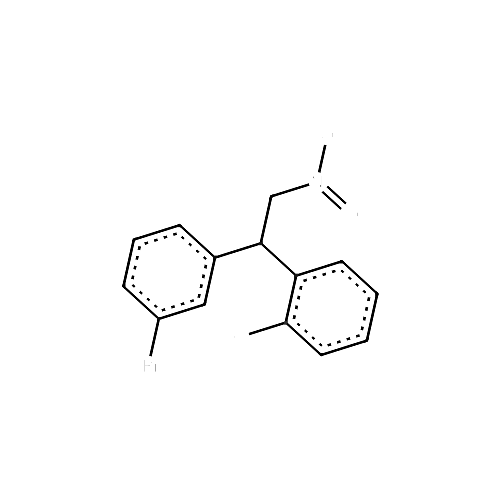 O=[N+]([O-])CC(c1cccc(Br)c1)c1ccccc1O